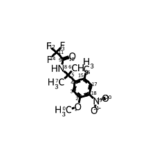 COc1cc(C(C)(C)NC(=O)C(F)(F)F)c(C)cc1[N+](=O)[O-]